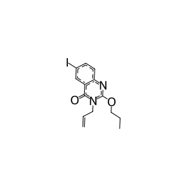 C=CCn1c(OCCC)nc2ccc(I)cc2c1=O